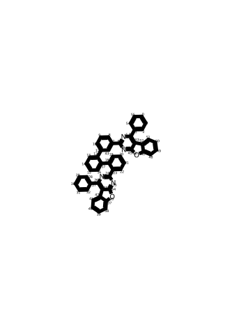 c1ccc(-c2nc(-c3cccc(-c4ccccc4-c4ccccc4-c4nc(-c5ccccc5)c5c(n4)oc4ccccc45)c3)nc3oc4ccccc4c23)cc1